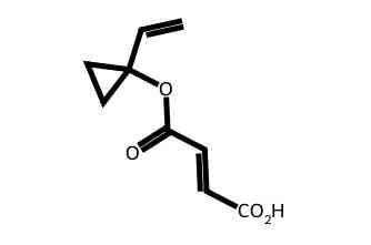 C=CC1(OC(=O)/C=C/C(=O)O)CC1